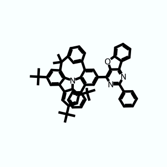 CC(C)(C)c1cc(C(C)(C)C)c2c(c1)c1cc(C(C)(C)C)cc3c1n2-c1c(-c2ccccc2)cc(-c2nc(-c4ccccc4)nc4c2oc2ccccc24)cc1-c1cccc(c1)C3(C)C